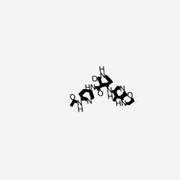 CC(=O)Nc1ccc(NC(=O)c2c(Nc3cnc4c(c3C)NCCO4)cc[nH]c2=O)cn1